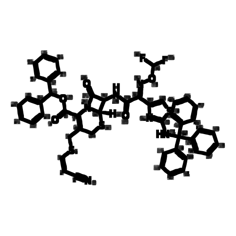 N#C/C=C\SCC1=C(C(=O)OC(c2ccccc2)c2ccccc2)N2C(=O)C(NC(=O)C(=NOC(F)F)c3csc(NC(c4ccccc4)(c4ccccc4)c4ccccc4)n3)[C@@H]2SC1